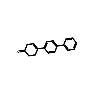 O=C1CC=C(c2ccc(-c3ccccc3)cc2)CC1